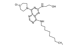 CCCCCCCCNc1ncnc2c(N3CC[S+]([O-])CC3)nc(NCCO)nc12